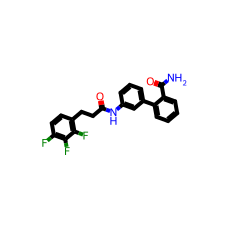 NC(=O)c1ccccc1-c1cccc(NC(=O)CCc2ccc(F)c(F)c2F)c1